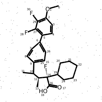 COc1ccc(-c2ccc(C(C)[C@H](C)[C@](F)(C(=O)O)C3CCCCC3)cc2)c(F)c1F